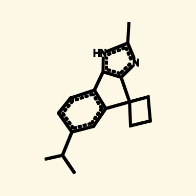 Cc1nc2c([nH]1)-c1ccc(C(C)C)cc1C21CCC1